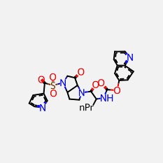 CCCC(NC(=O)Oc1ccc2ncccc2c1)C(=O)N1CCC2C1C(=O)CN2S(=O)(=O)C(=O)c1cccnc1